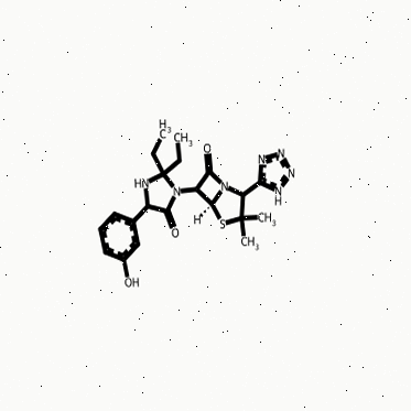 CCC1(CC)NC(c2cccc(O)c2)C(=O)N1C1C(=O)N2C(c3nnn[nH]3)C(C)(C)S[C@@H]12